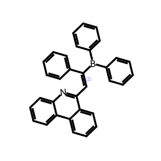 C(=C(\B(c1ccccc1)c1ccccc1)c1ccccc1)/c1nc2ccccc2c2ccccc12